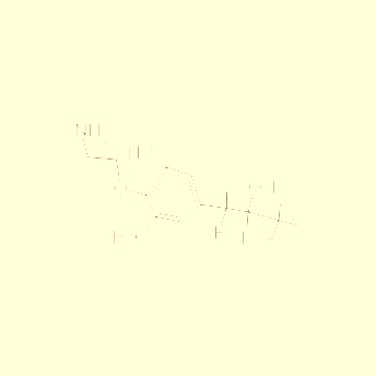 Cc1cc(C(F)(F)C(O)(F)C(F)(F)F)cc(C)c1OCCN